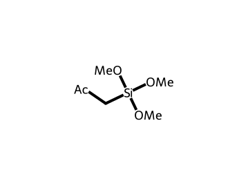 CO[Si](CC(C)=O)(OC)OC